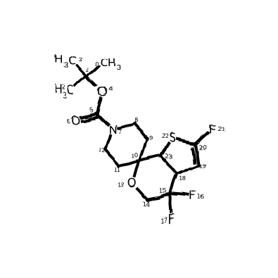 CC(C)(C)OC(=O)N1CCC2(CC1)OCC(F)(F)C1C=C(F)SC12